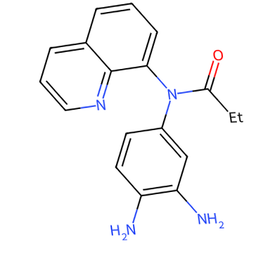 CCC(=O)N(c1ccc(N)c(N)c1)c1cccc2cccnc12